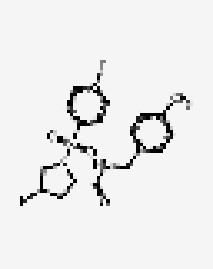 O=C(NCc1ccc(C(F)(F)F)cc1)[C@@H]1C[C@@H](F)CN1S(=O)(=O)c1ccc(F)cc1